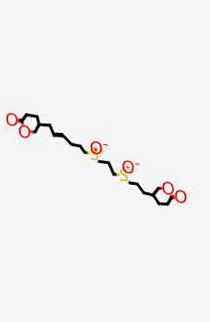 O=C1CCC(CC=CCCC[S+]([O-])CCC[S+]([O-])CCCC2CCC(=O)OC2)CO1